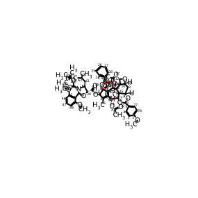 COc1ccc(C2O[C@H]3C[C@H]4OC[C@@]4(OC(C)=O)[C@H]4[C@H](OC(=O)c5ccccc5)[C@]5(C(C)(C)O)C[C@H](OC(=O)[C@@H]6OC(c7c(OC)cccc7OC)N(C(=O)OC(C)(C)C)[C@H]6CC(C)C)C(C)=C5[C@@H](OC(C)=O)[C@H](O2)[C@]34C)cc1